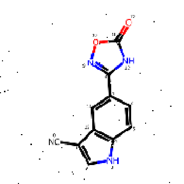 N#Cc1c[nH]c2ccc(-c3noc(=O)[nH]3)cc12